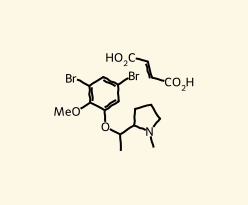 COc1c(Br)cc(Br)cc1OC(C)C1CCCN1C.O=C(O)/C=C/C(=O)O